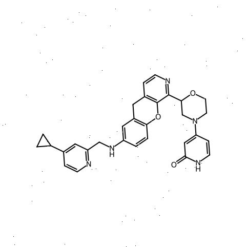 O=c1cc(N2CCOC(c3nccc4c3Oc3ccc(NCc5cc(C6CC6)ccn5)cc3C4)C2)cc[nH]1